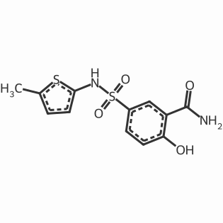 Cc1ccc(NS(=O)(=O)c2ccc(O)c(C(N)=O)c2)s1